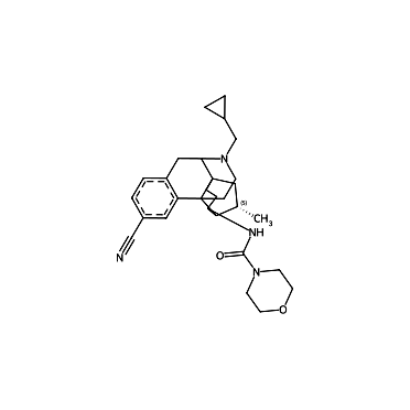 C[C@H]1CC23CCC(NC(=O)N4CCOCC4)C1C21CCN(CC2CC2)C3Cc2ccc(C#N)cc21